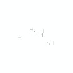 CCC[CH2][SnH].OCl.OCl